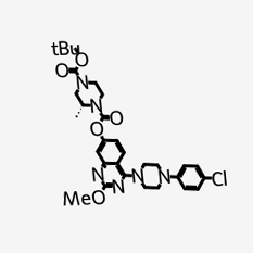 COc1nc(N2CCN(c3ccc(Cl)cc3)CC2)c2ccc(OC(=O)N3CCN(C(=O)OC(C)(C)C)C[C@H]3C)cc2n1